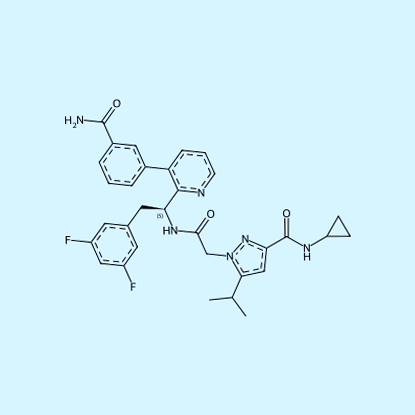 CC(C)c1cc(C(=O)NC2CC2)nn1CC(=O)N[C@@H](Cc1cc(F)cc(F)c1)c1ncccc1-c1cccc(C(N)=O)c1